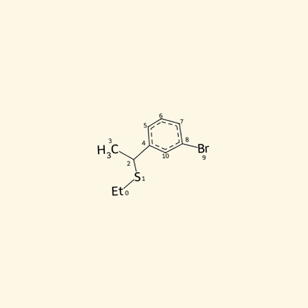 CCSC(C)c1cccc(Br)c1